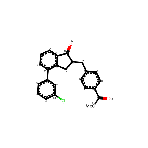 COC(=O)c1ccc(CC2Cc3c(cccc3-c3cccc(Cl)c3)C2=O)cc1